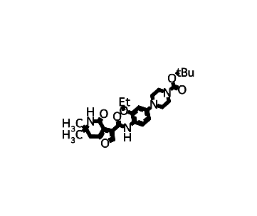 CCOc1cc(N2CCN(C(=O)OC(C)(C)C)CC2)ccc1NC(=O)c1coc2c1C(=O)NC(C)(C)C2